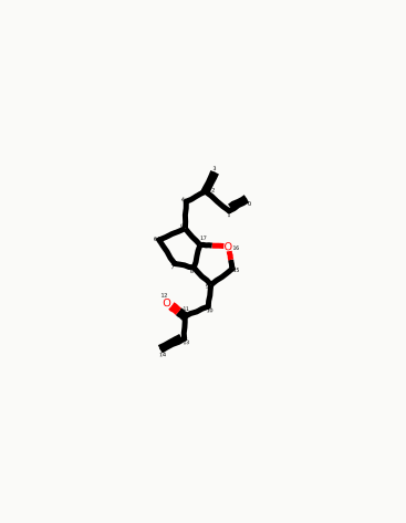 C=CC(=C)CC1CCC2C(CC(=O)C=C)COC12